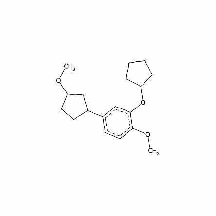 COc1ccc(C2CCC(OC)C2)cc1OC1CCCC1